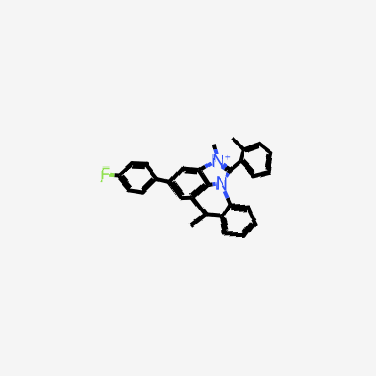 Cc1ccccc1-c1n2c3c(cc(-c4ccc(F)cc4)cc3[n+]1C)C(C)c1ccccc1-2